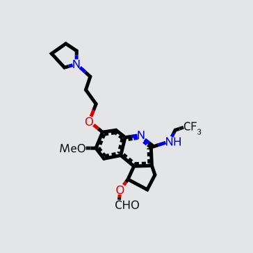 COc1cc2c3c(c(NCC(F)(F)F)nc2cc1OCCCN1CCCC1)CCC3OC=O